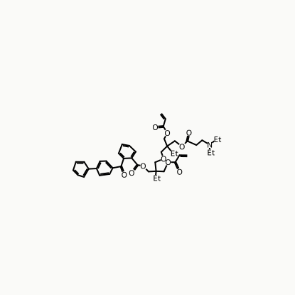 C=CC(=O)OCC(CC)(COCC(CC)(COC(=O)C=C)COC(=O)c1ccccc1C(=O)c1ccc(-c2ccccc2)cc1)COC(=O)CCN(CC)CC